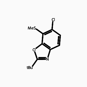 CSc1c(Cl)ccc2nc(C(C)(C)C)oc12